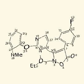 CCOCn1oc(=O)c(-c2ccc(F)cc2)c1-c1ccnc(Oc2ccccc2NC)n1